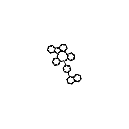 c1ccc2c(-c3ccc(-n4c5ccccc5c5cccc6c7ccccc7n(c7ccccc74)c56)cc3)cccc2c1